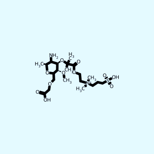 CO[C@@H]1C(COCC(=O)O)O[C@@H](C)C(N)[C@H]1OC(C)(C)C(=O)OCC[N+](C)(C)CCCS(=O)(=O)O